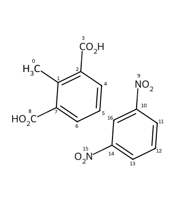 Cc1c(C(=O)O)cccc1C(=O)O.O=[N+]([O-])c1cccc([N+](=O)[O-])c1